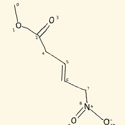 COC(=O)C/C=C/C[N+](=O)[O-]